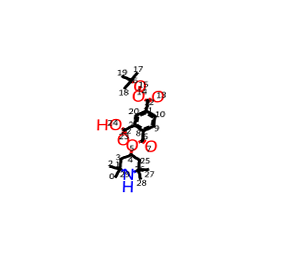 CC1(C)CC(OC(=O)c2ccc(C(=O)OOC(C)(C)C)cc2C(=O)O)CC(C)(C)N1